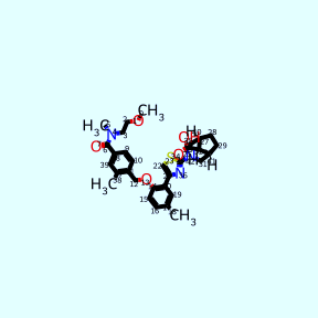 COCCN(C)C(=O)c1ccc(COc2ccc(C)cc2-c2csc(N3C[C@H]4CC[C@@H](C3)[C@H]4C(=O)O)n2)c(C)c1